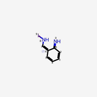 N=C1C=CC=C/C1=C/NI